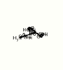 NC(=O)CCCC(=O)N(O)CCCCCNC(=O)CCC(=O)N(CCCCNC(=O)c1cccc(O)c1O)CCCNC(=O)c1cccc(O)c1O